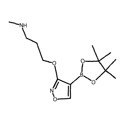 CNCCCOc1nocc1B1OC(C)(C)C(C)(C)O1